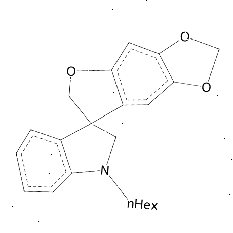 CCCCCCN1CC2(COc3cc4c(cc32)OCO4)c2ccccc21